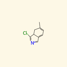 CC1=CC=C2C=NC=C(Cl)C2C1